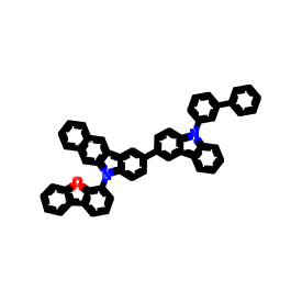 c1ccc(-c2cccc(-n3c4ccccc4c4cc(-c5ccc6c(c5)c5cc7ccccc7cc5n6-c5cccc6c5oc5ccccc56)ccc43)c2)cc1